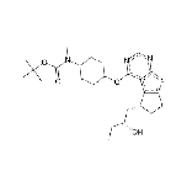 CC[C@@H](O)C[C@H]1CCc2sc3ncnc(OC4CCC(N(C)C(=O)OC(C)(C)C)CC4)c3c21